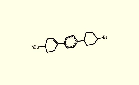 CCCCC1CC=C(c2ccc(C3CCC(CC)CC3)cc2)CC1